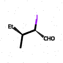 CC[C@H](C)[C@H](I)C=O